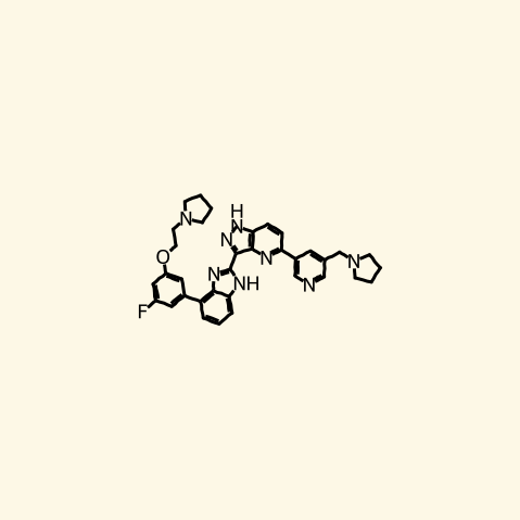 Fc1cc(OCCN2CCCC2)cc(-c2cccc3[nH]c(-c4n[nH]c5ccc(-c6cncc(CN7CCCC7)c6)nc45)nc23)c1